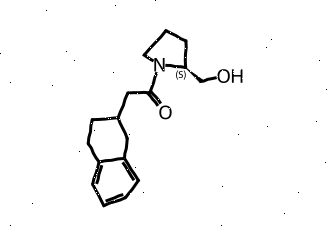 O=C(CC1CCc2ccccc2C1)N1CCC[C@H]1CO